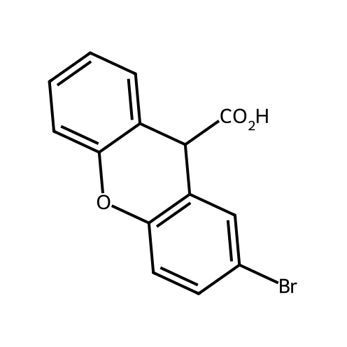 O=C(O)C1c2ccccc2Oc2ccc(Br)cc21